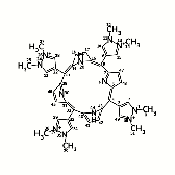 Cn1cc(-c2c3nc(c(-c4cn(C)[n+](C)c4)c4ccc([nH]4)c(-c4cn(C)[n+](C)c4)c4nc(c(-c5cn(C)[n+](C)c5)c5ccc2[nH]5)C=C4)C=C3)c[n+]1C